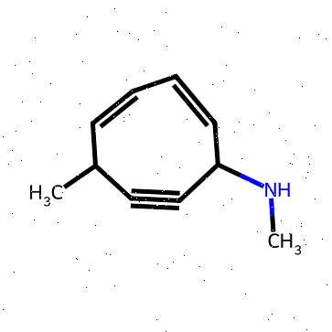 CNC1C#CC(C)/C=C\C=C/1